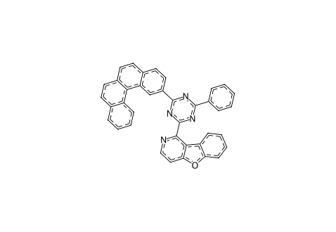 c1ccc(-c2nc(-c3ccc4ccc5ccc6ccccc6c5c4c3)nc(-c3nccc4oc5ccccc5c34)n2)cc1